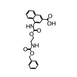 O=C(NCCOC(=O)Nc1cc(C(=O)O)cc2ccccc12)OCc1ccccc1